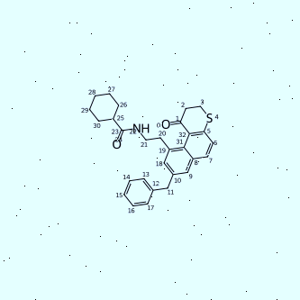 O=C1CCSc2ccc3cc(Cc4ccccc4)cc(CCNC(=O)C4CCCCC4)c3c21